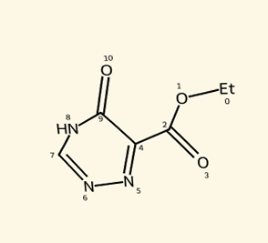 CCOC(=O)c1nnc[nH]c1=O